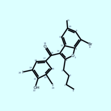 CCCCc1oc2c(Br)cc(C)cc2c1C(=O)c1cc(I)c(O)c(I)c1